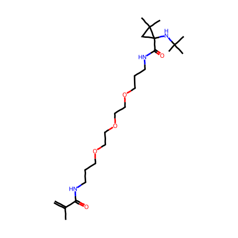 C=C(C)C(=O)NCCCOCCOCCOCCCNC(=O)C1(NC(C)(C)C)CC1(C)C